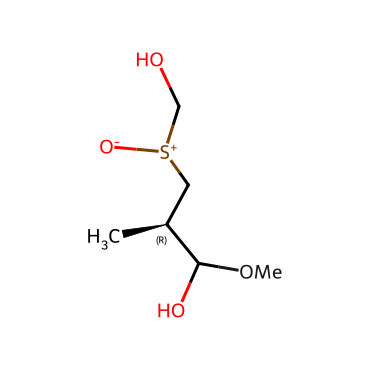 COC(O)[C@@H](C)C[S+]([O-])CO